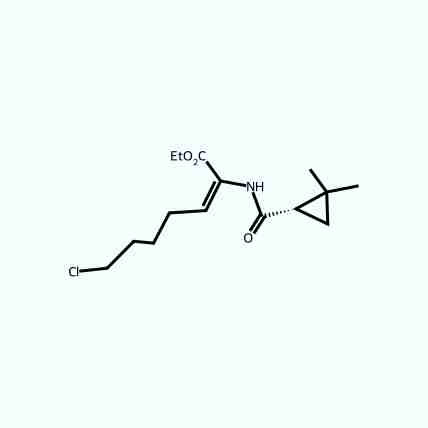 CCOC(=O)C(=CCCCCCl)NC(=O)[C@H]1CC1(C)C